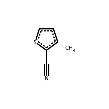 C.N#Cc1cccs1